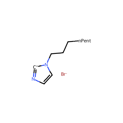 CCCCCCCCN1[C+]=NC=C1.[Br-]